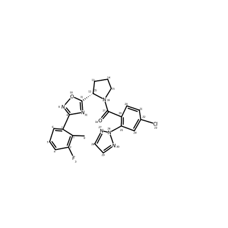 Cc1c(F)cccc1-c1noc([C@@H]2CCCN2C(=O)c2ccc(Cl)cc2-n2nccn2)n1